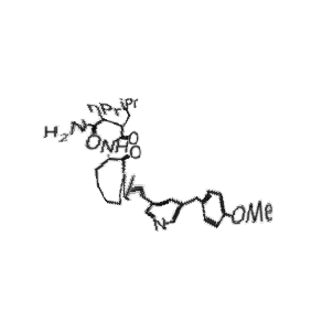 CCC[C@H](C(N)=O)[C@@H](CC(C)C)C(=O)N[C@H]1CCCCN(Cc2cncc(-c3ccc(OC)cc3)c2)C1=O